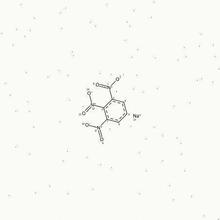 O=[N+]([O-])c1cccc([N+](=O)[O-])c1[N+](=O)[O-].[Na+]